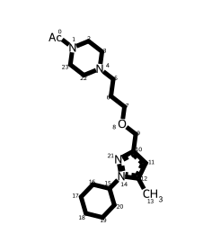 CC(=O)N1CCN(CCCOCc2cc(C)n(C3CCCCC3)n2)CC1